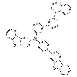 c1cc(-c2cccc(N(c3ccc(-c4ccc5c(c4)sc4ccccc45)cc3)c3ccc4sc5ccccc5c4c3)c2)cc(-c2cccc3ccccc23)c1